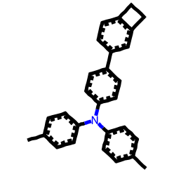 Cc1ccc(N(c2ccc(C)cc2)c2ccc(-c3ccc4c(c3)CC4)cc2)cc1